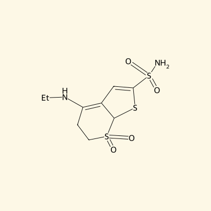 CCNC1=C2C=C(S(N)(=O)=O)SC2S(=O)(=O)CC1